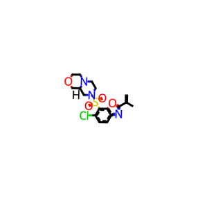 C=C(C)c1nc2ccc(Cl)c(S(=O)(=O)N3CCN4CCOC[C@@H]4C3)c2o1